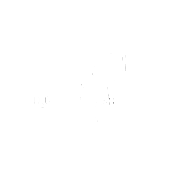 BCc1cc2c(C)cc(C)cc2nc1C